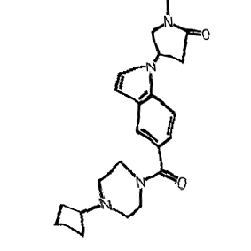 CN1CC(n2ccc3cc(C(=O)N4CCN(C5CCC5)CC4)ccc32)CC1=O